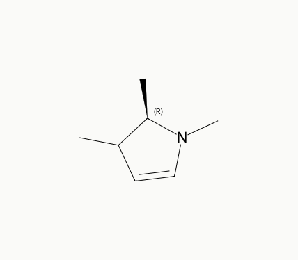 CC1C=CN(C)[C@@H]1C